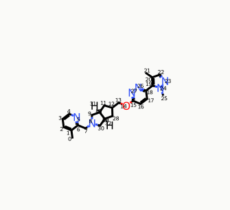 Cc1cccnc1CN1C[C@H]2CC(COc3ccc(-c4c(C)cnn4C)nn3)C[C@H]2C1